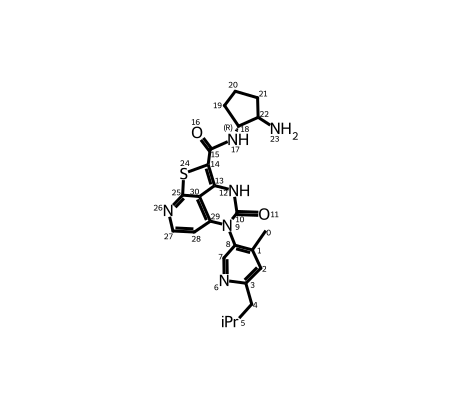 Cc1cc(CC(C)C)ncc1N1C(=O)Nc2c(C(=O)N[C@@H]3CCCC3N)sc3nccc1c23